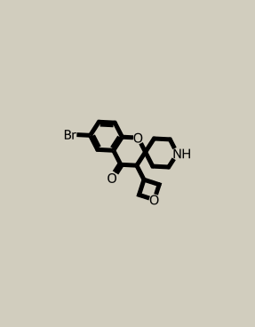 O=C1c2cc(Br)ccc2OC2(CCNCC2)C1C1COC1